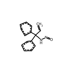 C=CC(NN=O)(c1ccccc1)c1ccccc1